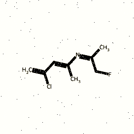 C=C(Cl)/C=C(C)/N=C(/C)CF